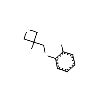 FC1(COc2cc[c]cc2Cl)COC1